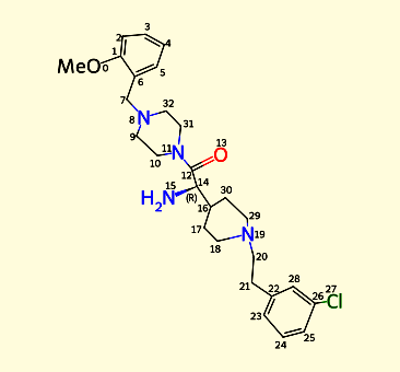 COc1ccccc1CN1CCN(C(=O)[C@H](N)C2CCN(CCc3cccc(Cl)c3)CC2)CC1